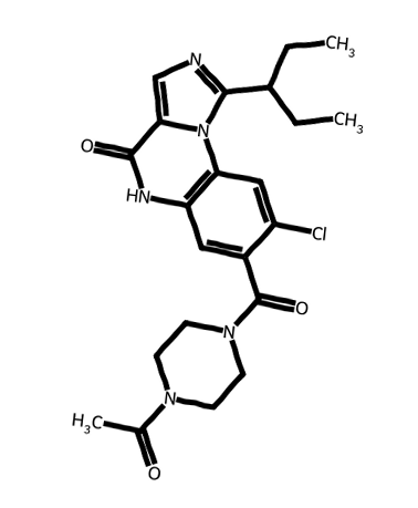 CCC(CC)c1ncc2c(=O)[nH]c3cc(C(=O)N4CCN(C(C)=O)CC4)c(Cl)cc3n12